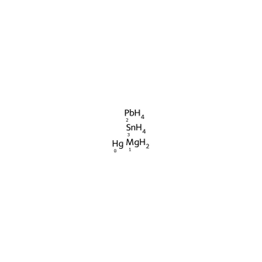 [Hg].[MgH2].[PbH4].[SnH4]